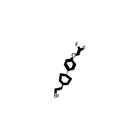 FC(F)=COc1ccc([C@H]2CC[C@H](CCBr)CC2)cc1